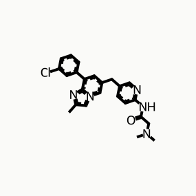 Cc1cn2cc(Cc3ccc(NC(=O)CN(C)C)nc3)cc(-c3cccc(Cl)c3)c2n1